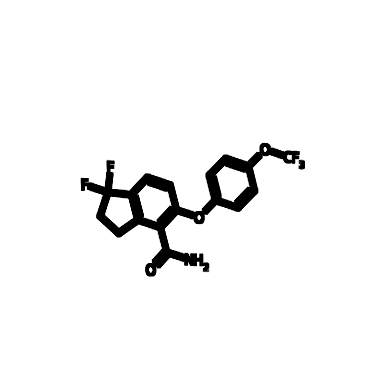 NC(=O)c1c(Oc2ccc(OC(F)(F)F)cc2)ccc2c1CCC2(F)F